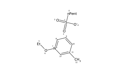 CCCCCS(=O)(=O)[O-].CCO[n+]1cccc(C)c1